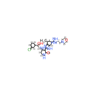 Cc1cc(C(=N)NCCN2CCOCC2)cc2[nH]c(-c3c(NCC(O)c4cccc(Cl)c4)cc[nH]c3=O)nc12